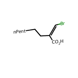 CCCCCCCC(=CBr)C(=O)O